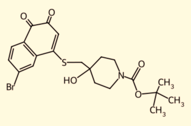 CC(C)(C)OC(=O)N1CCC(O)(CSC2=CC(=O)C(=O)c3ccc(Br)cc32)CC1